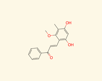 COc1c(C)c(O)cc(O)c1C=CC(=O)c1ccccc1